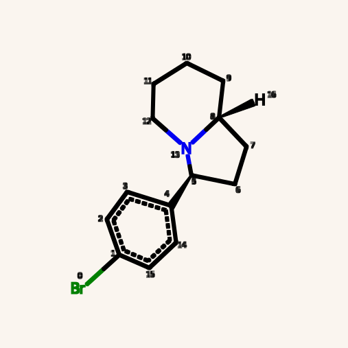 Brc1ccc([C@@H]2CC[C@H]3CCCCN32)cc1